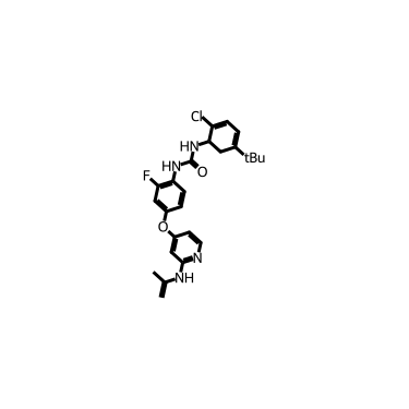 C=C(C)Nc1cc(Oc2ccc(NC(=O)NC3CC(C(C)(C)C)=CC=C3Cl)c(F)c2)ccn1